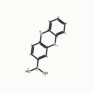 OB(O)c1ccc2c(c1)Sc1ccccc1O2